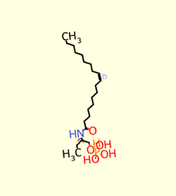 CCCCCCCC/C=C\CCCCCCCC(=O)N[C@H](CC)CO[PH](O)(O)O